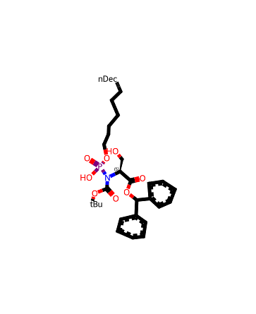 CCCCCCCCCCCCCCCCOP(=O)(O)N(C(=O)OC(C)(C)C)[C@@H](CO)C(=O)OC(c1ccccc1)c1ccccc1